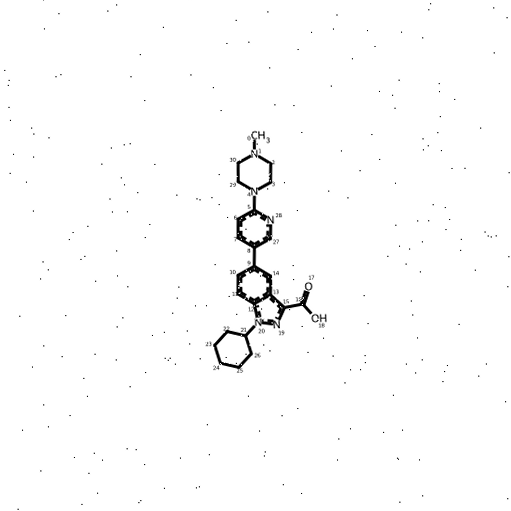 CN1CCN(c2ccc(-c3ccc4c(c3)c(C(=O)O)nn4C3CCCCC3)cn2)CC1